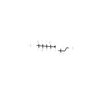 CC(F)(F)C(F)(F)C(F)(F)C(F)(F)C(=O)OC(CCO)(C(F)(F)F)C(F)(F)F